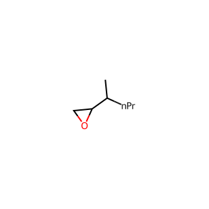 [CH2]CCC(C)C1CO1